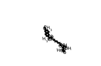 COc1ccc2cc([C@H](C)C(=O)NCCCCCC(=O)NC(CO)CO[PH](=O)O)ccc2c1